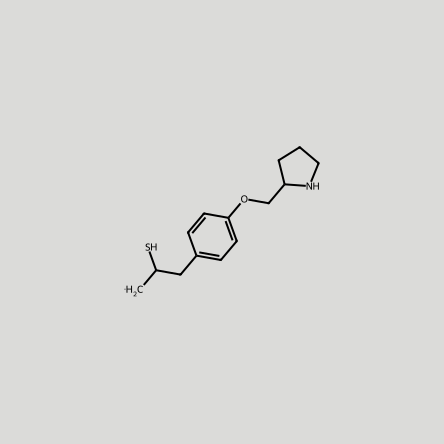 [CH2]C(S)Cc1ccc(OCC2CCCN2)cc1